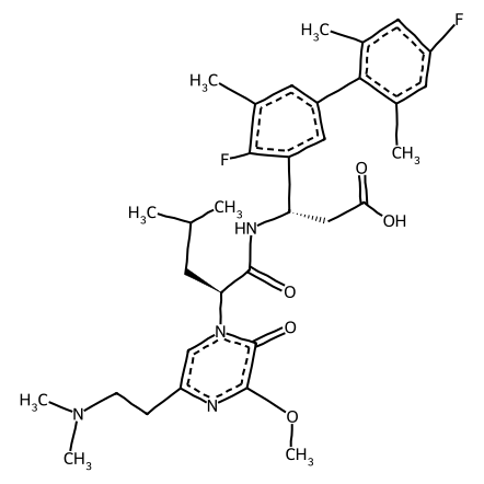 COc1nc(CCN(C)C)cn([C@@H](CC(C)C)C(=O)N[C@@H](CC(=O)O)c2cc(-c3c(C)cc(F)cc3C)cc(C)c2F)c1=O